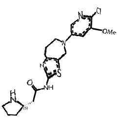 COc1cc(N2CCc3nc(NC(=O)C[C@@H]4CCCN4)sc3C2)cnc1Cl